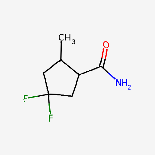 CC1CC(F)(F)CC1C(N)=O